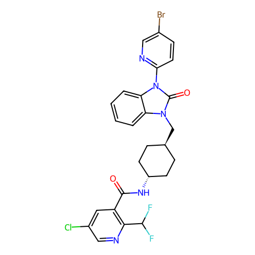 O=C(N[C@H]1CC[C@H](Cn2c(=O)n(-c3ccc(Br)cn3)c3ccccc32)CC1)c1cc(Cl)cnc1C(F)F